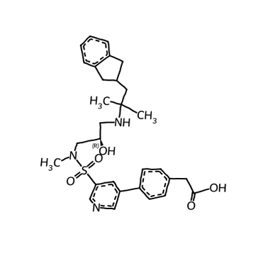 CN(C[C@H](O)CNC(C)(C)CC1Cc2ccccc2C1)S(=O)(=O)c1cncc(-c2ccc(CC(=O)O)cc2)c1